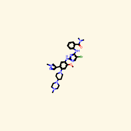 COc1cc(N2CCC(N3CCN(C)CC3)CC2)c(-c2cnn(C)c2)cc1Nc1ncc(Br)c(Nc2ccccc2C(=O)N(C)C)n1